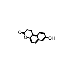 O=C1CCc2c(ccc3cc(O)ccc23)O1